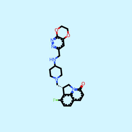 O=c1ccc2ccc(F)c3c2n1C[C@H]3CN1CCC(NCc2cc3c(nn2)OCCO3)CC1